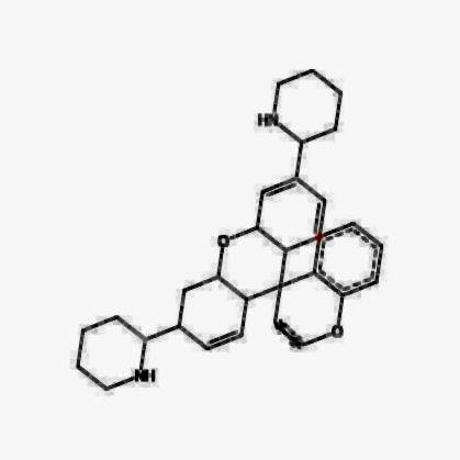 C1=CC2C(C=C1C1CCCCN1)OC1CC(C3CCCCN3)C=CC1C21c2ccccc2Oc2ccccc21